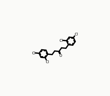 O=C(CCc1ccc(Cl)cc1Cl)CCc1ccc(Cl)cc1Cl